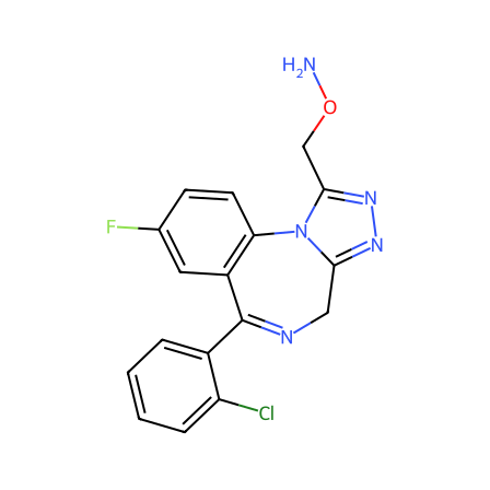 NOCc1nnc2n1-c1ccc(F)cc1C(c1ccccc1Cl)=NC2